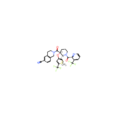 CCC[C@H]1N(C(=O)c2ncccc2C(F)(F)F)CCC[C@@]1(Oc1csc(C(F)(F)F)c1)C(=O)N1CCc2cc(C#N)ccc2C1